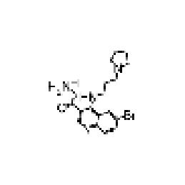 NNC(=O)c1cnc2ccc(Br)cc2c1NCCCN1CCCC1